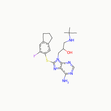 CC(C)(C)NCC(O)Cn1c(Sc2cc3c(cc2I)CCC3)nc2c(N)ncnc21